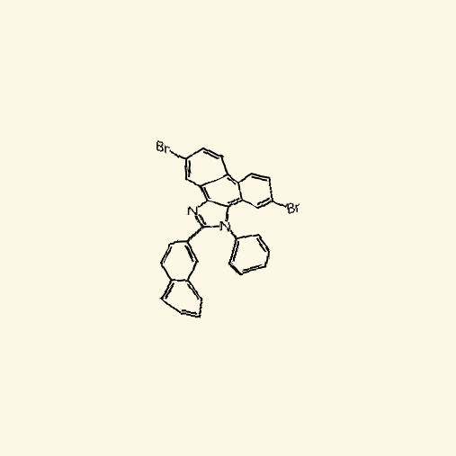 Brc1ccc2c3ccc(Br)cc3c3c(nc(-c4ccc5ccccc5c4)n3-c3ccccc3)c2c1